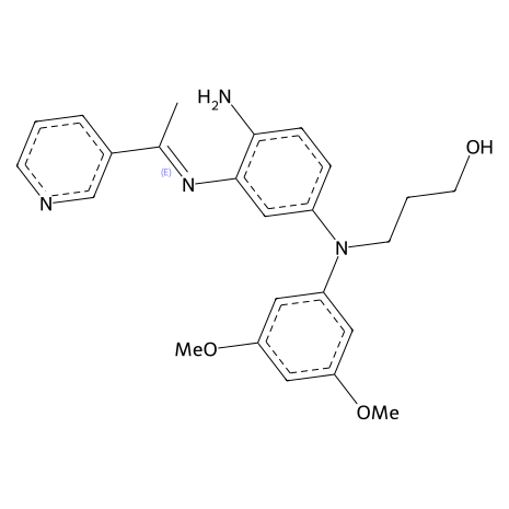 COc1cc(OC)cc(N(CCCO)c2ccc(N)c(/N=C(\C)c3cccnc3)c2)c1